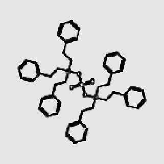 [O]=[Cr](=[O])([O][Si](CCc1ccccc1)(CCc1ccccc1)CCc1ccccc1)[O][Si](CCc1ccccc1)(CCc1ccccc1)CCc1ccccc1